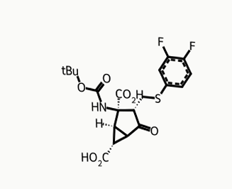 CC(C)(C)OC(=O)N[C@@]1(C(=O)O)[C@H](CSc2ccc(F)c(F)c2)C(=O)C2[C@H](C(=O)O)[C@H]21